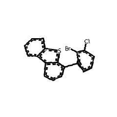 Clc1cccc(-c2cccc3c2sc2ccccc23)c1Br